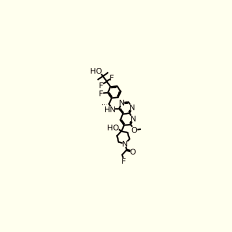 COc1nc2ncnc(N[C@H](C)c3cccc(C(F)(F)C(C)(C)O)c3F)c2cc1C1(O)CCN(C(=O)CF)CC1